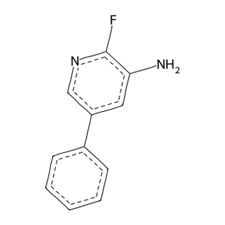 Nc1cc(-c2ccccc2)cnc1F